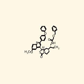 C=C[C@@H](CNC(=O)COCc1ccccc1)[C@H]1CCN2C(=O)S[C@@H](c3cc(-c4ccc(Oc5ccccc5)cc4)nc4ccc(OC)cc34)[C@@H]2C1